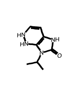 CC(C)n1c2c([nH]c1=O)C=CNN2